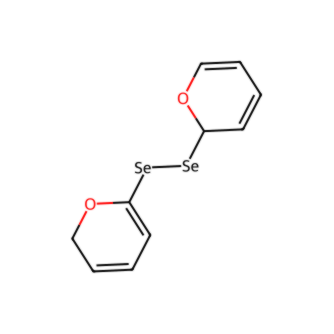 C1=CCOC([Se][Se]C2C=CC=CO2)=C1